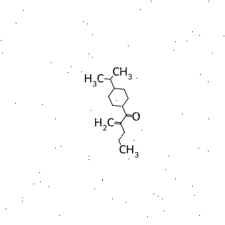 C=C(CCC)C(=O)C1CCC(C(C)C)CC1